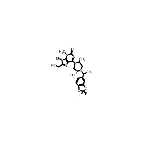 CCn1c(CC#N)nc2c(N3C[C@@H](C)N(C(C)c4ccc5c(c4)OC(F)(F)O5)C[C@@H]3C)nc(=O)n(C)c21